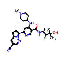 CN1CCC(Nc2cc(-c3ccc4cc(C#N)cnn34)ncc2C(=O)NCC(F)C(C)(C)O)CC1